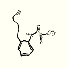 CS(=O)(=O)Nc1ccccc1CCCBr